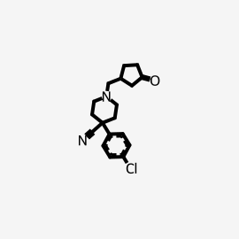 N#CC1(c2ccc(Cl)cc2)CCN(CC2CCC(=O)C2)CC1